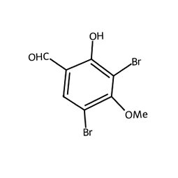 COc1c(Br)cc(C=O)c(O)c1Br